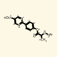 CCCCCCCCc1cnc(-c2ccc(OC(=O)C(C)OCCC)cc2)nc1